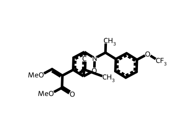 COC=C(C(=O)OC)c1cc2cc(C)c1ON2C(C)c1cccc(OC(F)(F)F)c1